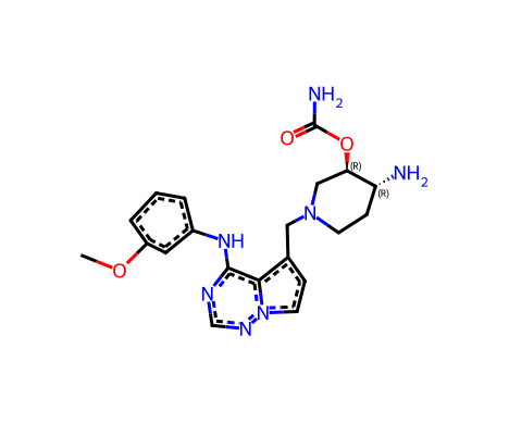 COc1cccc(Nc2ncnn3ccc(CN4CC[C@@H](N)[C@H](OC(N)=O)C4)c23)c1